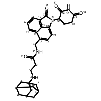 O=C(CCNC12CC3CC(CC(C3)C1)C2)NCc1ccc2c3c(cccc13)C(=O)N2C1CCC(=O)NC1=O